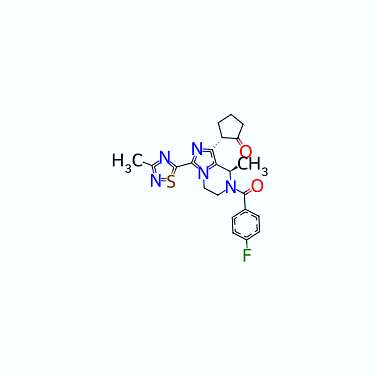 Cc1nsc(-c2nc([C@@H]3CCCC3=O)c3n2CCN(C(=O)c2ccc(F)cc2)[C@@H]3C)n1